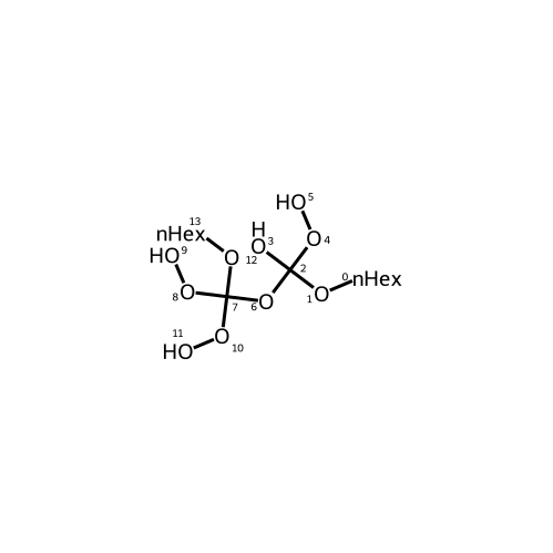 CCCCCCOC(O)(OO)OC(OO)(OO)OCCCCCC